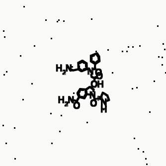 NC(=O)c1ccc2c(c1)N(C(=O)[C@H]1CCCN1)CC2.NCc1cccc(N(CC(=O)O)C(=O)c2ccccc2)c1